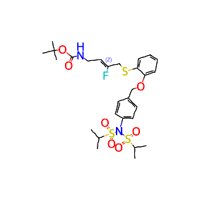 CC(C)S(=O)(=O)N(c1ccc(COc2ccccc2SC/C(F)=C/CNC(=O)OC(C)(C)C)cc1)S(=O)(=O)C(C)C